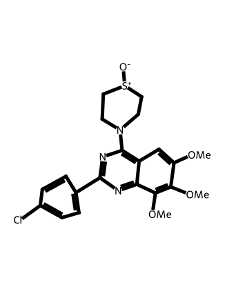 COc1cc2c(N3CC[S+]([O-])CC3)nc(-c3ccc(Cl)cc3)nc2c(OC)c1OC